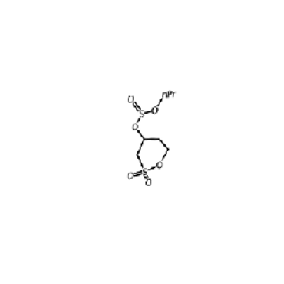 CCCOS(=O)OC1CCOS(=O)(=O)C1